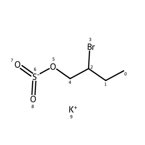 CCC(Br)CO[S-](=O)=O.[K+]